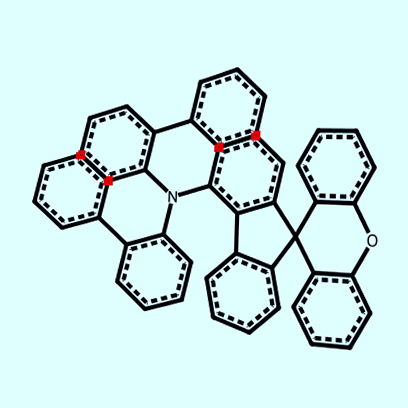 c1ccc(-c2ccccc2N(c2ccccc2-c2ccccc2)c2cccc3c2-c2ccccc2C32c3ccccc3Oc3ccccc32)cc1